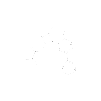 C=C(C)C(=O)OC1NC(=O)N1c1cc(-c2ccccc2)ccc1O